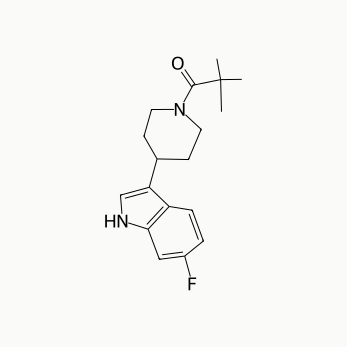 CC(C)(C)C(=O)N1CCC(c2c[nH]c3cc(F)ccc23)CC1